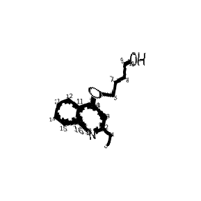 CCc1cc(OCCCCO)c2ccccc2n1